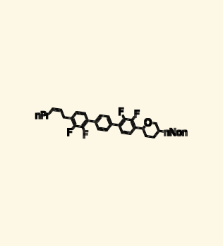 CCC/C=C\Cc1ccc(-c2ccc(-c3ccc(C4CCC(CCCCCCCCC)CO4)c(F)c3F)cc2)c(F)c1F